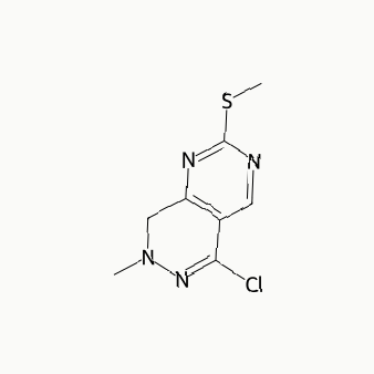 CSc1ncc2c(n1)CN(C)N=C2Cl